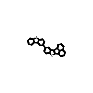 c1cc2c3c(cccc3c1)-c1c-2oc2ccc(-c3ccc4sc5ccccc5c4c3)cc12